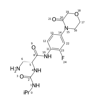 CC(C)NC(=O)N[C@H](CN)C(=O)Nc1ccc(N2CCOCC2=O)cc1F